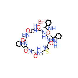 C[C@H]1NC(=O)CNC(=O)[C@H](Cc2c[nH]c3cccc(Br)c23)NC(=O)[C@H](Cc2c[nH]c3ccccc23)NC(=O)c2csc(n2)[C@@H](C)NC(=O)CN(C)C(=O)/C(=C/c2ccccc2)NC1=O